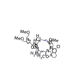 C=C/C1=C\C2=C(C)OC[C@]3(CCCc4cc(Cl)ccc43)CN2C[C@@H]2CC[C@H]2[C@@H](OC)/C=C/C[C@H](C)C[S@@](=O)(NC(=O)c2cc(COC)n(CCOC)c2)=NC1=O